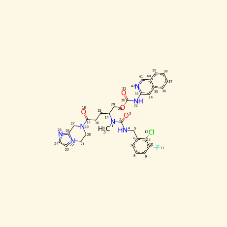 CN(C(=O)NCc1cccc(F)c1Cl)[C@@H](CCC(=O)N1CCn2ccnc2C1)COC(=O)Nc1cc2ccccc2cn1